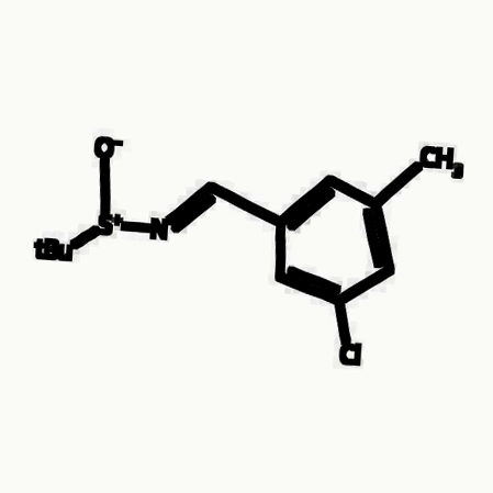 Cc1cc(Cl)cc(/C=N/[S+]([O-])C(C)(C)C)c1